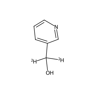 [2H]C([2H])(O)c1cccnc1